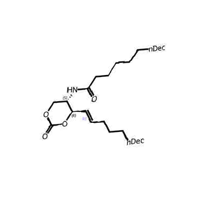 CCCCCCCCCCCCC/C=C/[C@H]1OC(=O)OC[C@@H]1NC(=O)CCCCCCCCCCCCCCC